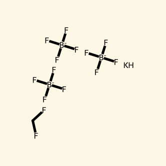 FCF.F[B-](F)(F)F.F[B-](F)(F)F.F[B-](F)(F)F.[KH]